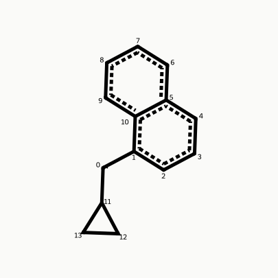 [CH](c1cccc2ccccc12)C1CC1